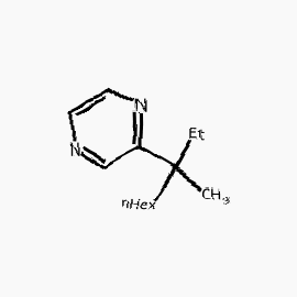 CCCCCCC(C)(CC)c1cnccn1